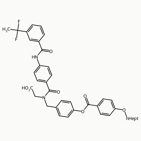 CCCCCCCOc1ccc(C(=O)Oc2ccc(CN(CC(=O)O)C(=O)c3ccc(NC(=O)c4cccc(C(C)(F)F)c4)cc3)cc2)cc1